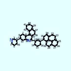 c1cncc(-c2ccc3c(c2)nc(-c2cccc(-c4ccc5ccc6cccc7ccc4c5c67)c2)c2ccc4ccccc4c23)c1